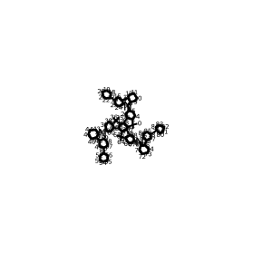 CC1(C)c2ccc(-n3c4ccccc4c4cc(-c5ccccc5)ccc43)cc2-c2c1c1c(c3c2C(C)(C)c2ccc(-n4c5ccccc5c5cc(-c6ccccc6)ccc54)cc2-3)C(C)(C)c2ccc(-n3c4ccccc4c4cc(-c5ccccc5)ccc43)cc2-1